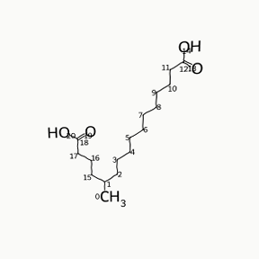 CC(CCCCCCCCCCC(=O)O)CCCC(=O)O